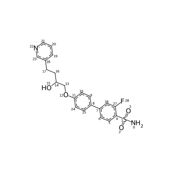 NS(=O)(=O)c1ccc(-c2ccc(OCC(O)CCc3cccnc3)cc2)cc1F